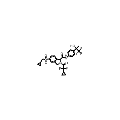 CC(O)(c1ccc(NC(=O)C2c3ccc(S(=O)(=O)CC4CC4)cc3CN2C(=O)C(F)(F)C2CC2)cc1)C(F)(F)F